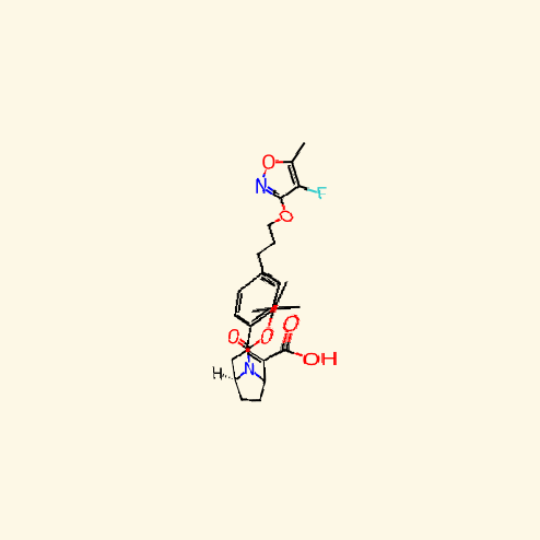 Cc1onc(OCCCc2ccc(C3=C(C(=O)O)C4CC[C@@H](C3)N4C(=O)OC(C)(C)C)cc2)c1F